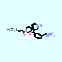 NN=Cc1cccc(C(=O)C2CNCCC23CCN(C(=O)CCC(=O)O)CC3)c1